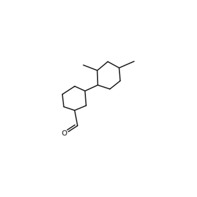 CC1CCC(C2CCCC(C=O)C2)C(C)C1